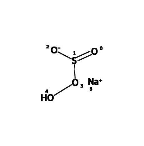 O=S([O-])OO.[Na+]